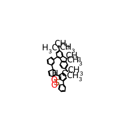 CC(C)(C)c1ccc2c(c1)C(C)(C)c1cc(C(C)(C)C)cc(-c3cccc(-c4cccc(-c5cccc6c5S(=O)(=O)c5ccccc5-6)c4)c3)c1-2